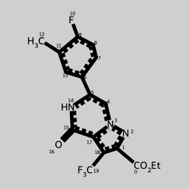 CCOC(=O)c1nn2cc(-c3ccc(F)c(C)c3)[nH]c(=O)c2c1C(F)(F)F